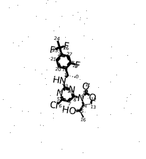 C[C@H](Nc1nc(Cl)cc(N2C(=O)OC[C@@H]2[C@@H](C)O)n1)c1ccc(C(C)(F)F)cc1F